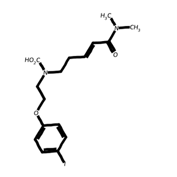 CN(C)C(=O)C=CCCN(CCOc1ccc(I)cc1)C(=O)O